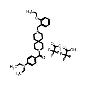 CCOc1ccccc1CN1CCC2(CC1)CCN(C(=O)c1ccc(N(CC)CC)cc1)CC2.O=C(O)C(F)(F)F.O=C(O)C(F)(F)F